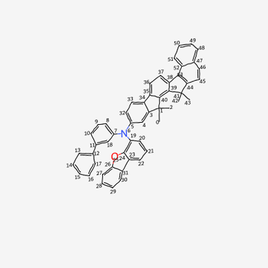 CC1(C)c2cc(N(c3cccc(-c4ccccc4)c3)c3cccc4c3oc3ccccc34)ccc2-c2ccc3c(c21)C(C)(C)c1ccc2ccccc2c1-3